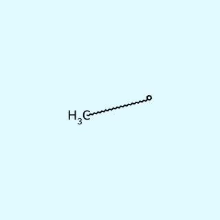 CCCCCCCCCCCCCCCCCCCCCCCCCCCCCCCCC1CCCCC1